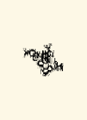 C=C(F)C(=O)Nc1ccc2c(-c3ccccc3CNc3nc(NC[C@H]4CCN(C(C)C)C[C@@H]4O)nc4c(C(C)C)cnn34)nccc2c1